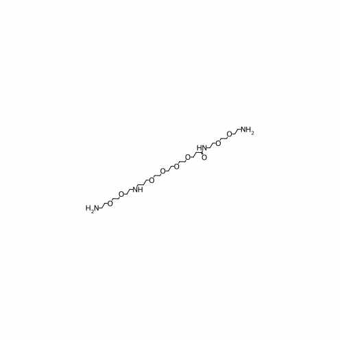 NCCOCCOCCNCCCOCCOCCOCCOCCC(=O)NCCOCCOCCN